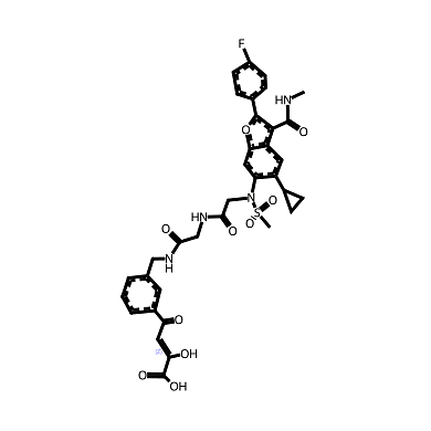 CNC(=O)c1c(-c2ccc(F)cc2)oc2cc(N(CC(=O)NCC(=O)NCc3cccc(C(=O)/C=C(\O)C(=O)O)c3)S(C)(=O)=O)c(C3CC3)cc12